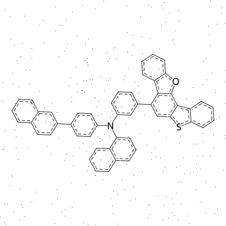 c1cc(-c2cc3sc4ccccc4c3c3oc4ccccc4c23)cc(N(c2ccc(-c3ccc4ccccc4c3)cc2)c2cccc3ccccc23)c1